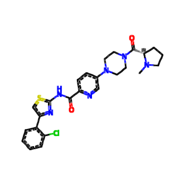 CN1CCC[C@H]1C(=O)N1CCN(c2ccc(C(=O)Nc3nc(-c4ccccc4Cl)cs3)nc2)CC1